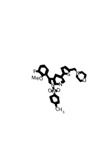 COc1c(F)cccc1-c1cn(S(=O)(=O)c2ccc(C)cc2)c2ncc(-c3ccc(CN4CCOCC4)s3)cc12